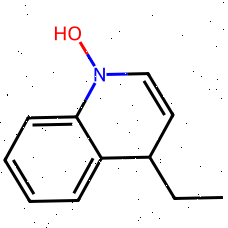 CCC1C=CN(O)c2ccccc21